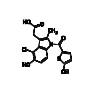 Cc1c(CC(=O)O)c2c(Cl)c(O)ccc2n1C(=O)c1ccc(O)s1